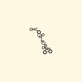 O=Cc1ccc2c(c1)CCN(CCN1CCC(OC(=O)Nc3ccccc3-c3ccccc3)CC1)C2=O